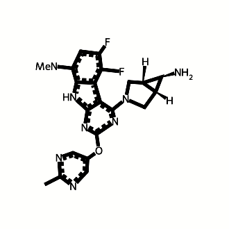 CNc1cc(F)c(F)c2c1[nH]c1nc(Oc3cnc(C)nc3)nc(N3C[C@@H]4[C@@H](N)[C@@H]4C3)c12